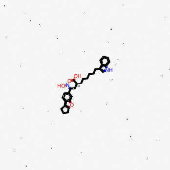 O=C(O)[C@@H](CCCCCCc1c[nH]c2ccccc12)CC(=NO)c1ccc2c3c(oc2c1)CCC3